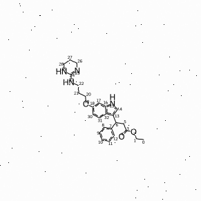 CCOC(=O)CC(c1ccccc1)c1c[nH]c2cc(OCCCNC3=NCCCN3)ccc12